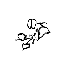 N=C1NC(c2ccc(F)cc2)(c2cccc(Br)c2)C(=O)N1Cc1cccc(C(=O)N2Cc3ccccc3C2)c1